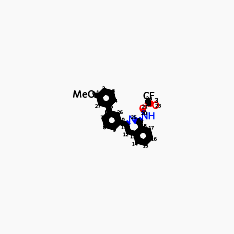 COc1cccc(-c2cccc(C3Cc4ccccc4C(NOC(=O)C(F)(F)F)=N3)c2)c1